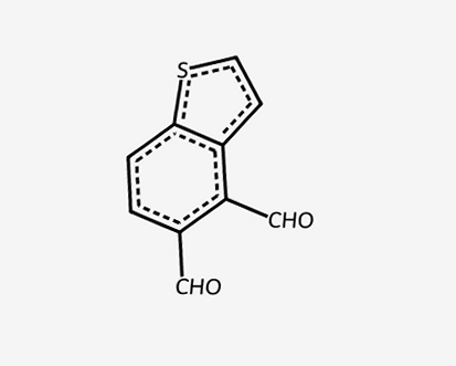 O=Cc1ccc2sccc2c1C=O